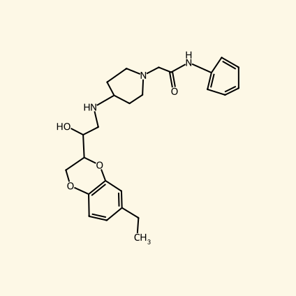 CCc1ccc2c(c1)OC(C(O)CNC1CCN(CC(=O)Nc3ccccc3)CC1)CO2